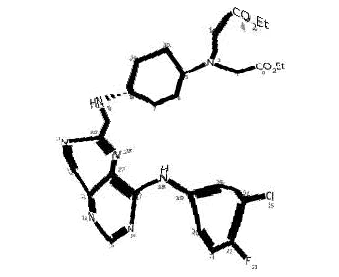 CCOC(=O)CN(CC(=O)OCC)[C@H]1CC[C@H](Nc2ncc3ncnc(Nc4ccc(F)c(Cl)c4)c3n2)CC1